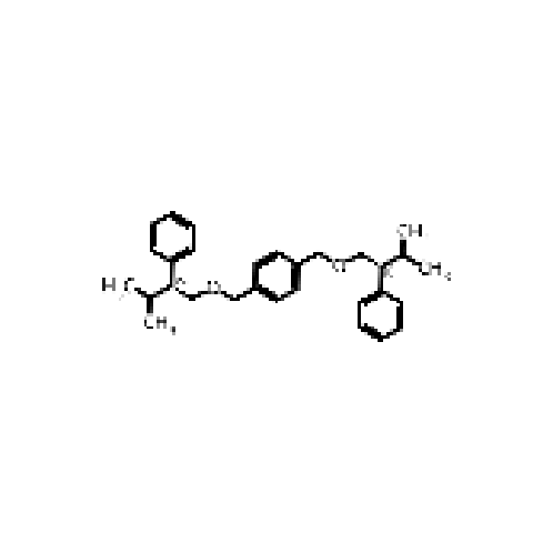 CC(C)[C@H](COCc1ccc(COC[C@H](c2ccccc2)C(C)C)cc1)c1ccccc1